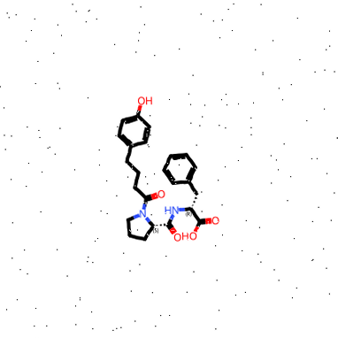 O=C(O)[C@@H](Cc1ccccc1)NC(=O)[C@@H]1CCCN1C(=O)CCCc1ccc(O)cc1